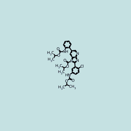 CC(C)OC(=O)Nc1ccc(Cl)c(-c2nc3ncc(-c4ccccc4NC(=O)OC(C)C)cc3n2C(=O)OC(C)C)c1